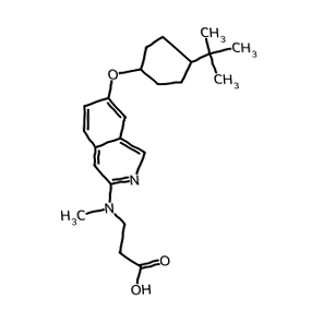 CN(CCC(=O)O)c1cc2ccc(OC3CCC(C(C)(C)C)CC3)cc2cn1